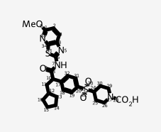 COc1ccc2nc(NC(=O)C(CC3CCCC3)c3ccc(S(=O)(=O)C4CCN(C(=O)O)CC4)cc3)sc2n1